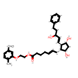 Cc1ccc(C=O)cc1OCCOC(=O)CCCC=CC[C@@H]1[C@@H](C=CC(O)CCc2ccccc2)[C@H](O)C[C@@H]1O